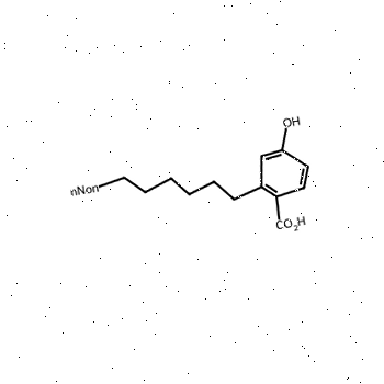 CCCCCCCCCCCCCCCc1cc(O)ccc1C(=O)O